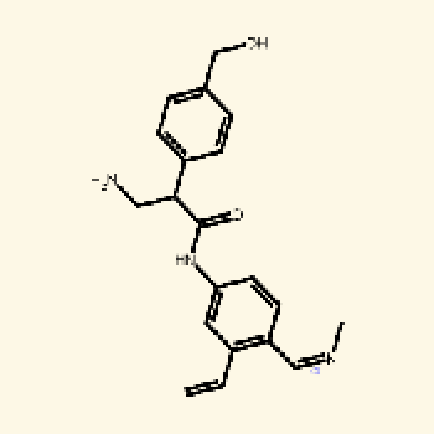 C=Cc1cc(NC(=O)C(CN)c2ccc(CO)cc2)ccc1/C=N\C